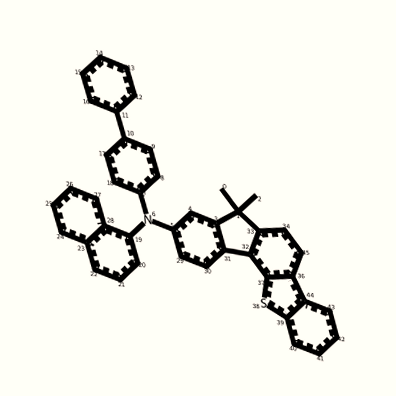 CC1(C)c2cc(N(c3ccc(-c4ccccc4)cc3)c3cccc4ccccc34)ccc2-c2c1ccc1c2sc2ccccc21